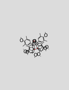 COC1=C[C@@H](OC)CC(P(=O)(c2cc(C)c(OC)c(C)c2)c2cc(C)c(OC)c(C)c2)=C1c1c(OC)cc(OC)cc1P(=O)(c1cc(C)c(OC)c(C)c1)c1cc(C)c(OC)c(C)c1